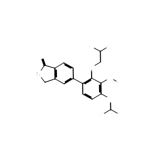 COc1c(OC(F)F)ccc(-c2ccc3c(c2)CNC3=O)c1OCC(C)C